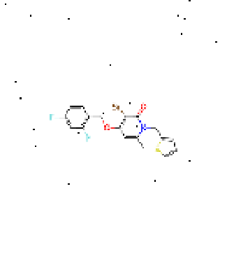 Cc1cc(OCc2ccc(F)cc2F)c(Br)c(=O)n1Cc1cccs1